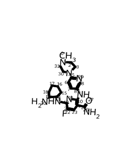 CN1CCN(c2ccc(Nc3nc(NC4CCCC[C@@H]4N)c(F)cc3C(N)=O)cn2)CC1